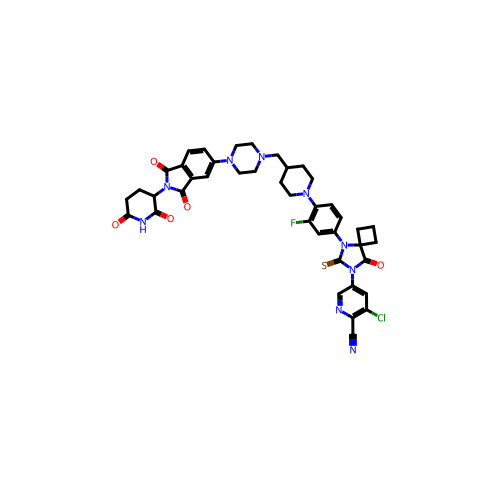 N#Cc1ncc(N2C(=O)C3(CCC3)N(c3ccc(N4CCC(CN5CCN(c6ccc7c(c6)C(=O)N(C6CCC(=O)NC6=O)C7=O)CC5)CC4)c(F)c3)C2=S)cc1Cl